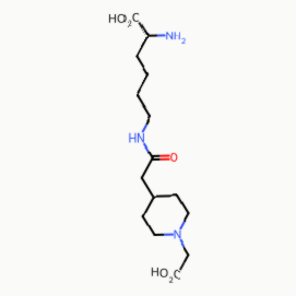 NC(CCCCNC(=O)CC1CCN(CC(=O)O)CC1)C(=O)O